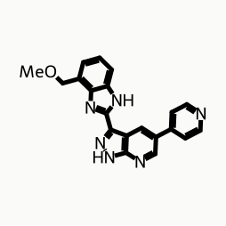 COCc1cccc2[nH]c(-c3n[nH]c4ncc(-c5ccncc5)cc34)nc12